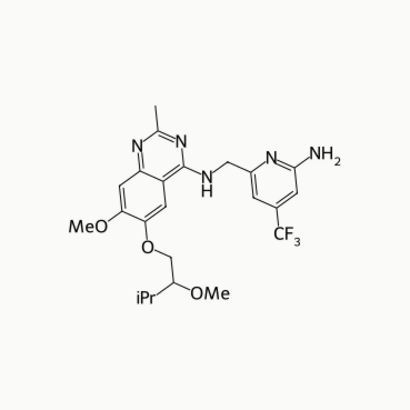 COc1cc2nc(C)nc(NCc3cc(C(F)(F)F)cc(N)n3)c2cc1OCC(OC)C(C)C